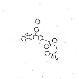 C=C1/C=C\C=C/CC2(c3ccccc3-c3ccccc31)c1ccccc1-c1cc(-c3ccc(N(c4ccc(-c5ccccc5)cc4)c4ccc5c(c4)oc4ccccc45)cc3)ccc12